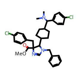 COC(=O)C1(Cc2ccc(Cl)cc2)N=CN(Cc2ccccc2)C1C1CCC(C(c2ccc(Cl)cc2)N(C)C)CC1